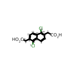 O=C(O)Cc1ccc2c(Cl)c(CC(=O)O)ccc2c1Cl